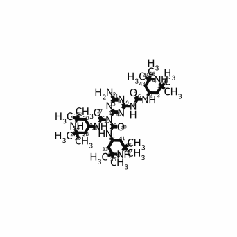 CC1(C)CC(NC(=O)Nc2nc(N)nc(N(C(=O)NC3CC(C)(C)NC(C)(C)C3)C(=O)NC3CC(C)(C)NC(C)(C)C3)n2)CC(C)(C)N1